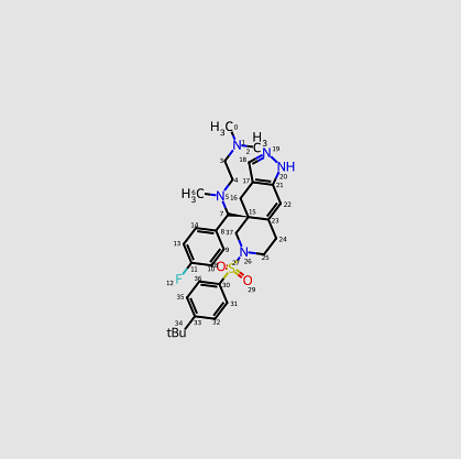 CN(C)CCN(C)C(c1ccc(F)cc1)[C@@]12Cc3cn[nH]c3C=C1CCN(S(=O)(=O)c1ccc(C(C)(C)C)cc1)C2